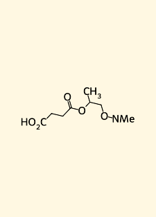 CNOCC(C)OC(=O)CCC(=O)O